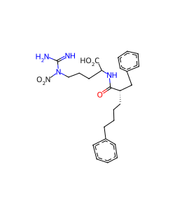 N=C(N)N(CCCC(NC(=O)[C@@H](CCCCc1ccccc1)Cc1ccccc1)C(=O)O)[N+](=O)[O-]